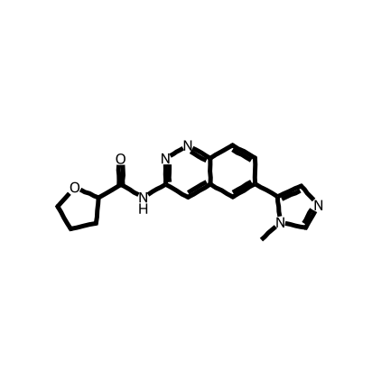 Cn1cncc1-c1ccc2nnc(NC(=O)C3CCCO3)cc2c1